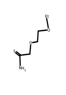 CCOCCOCC(N)=S